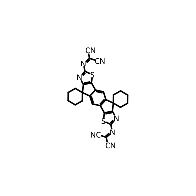 N#CC(C#N)=Nc1nc2c(s1)-c1cc3c(cc1C21CCCCC1)-c1sc(N=C(C#N)C#N)nc1C31CCCCC1